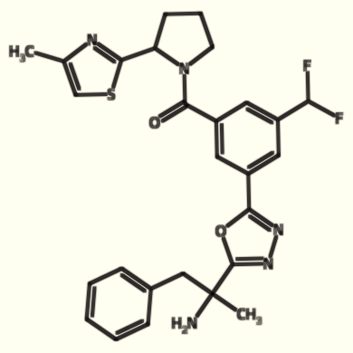 Cc1csc(C2CCCN2C(=O)c2cc(-c3nnc(C(C)(N)Cc4ccccc4)o3)cc(C(F)F)c2)n1